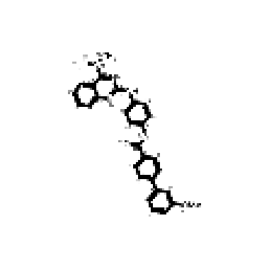 COc1cccc(-c2ccc(C(=O)Nc3ccc(Nc4nc(N(C)C)c5ccccc5n4)cc3)cc2)c1